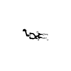 C=CCN1CCc2sc(N)c(C(=O)O)c2CC1